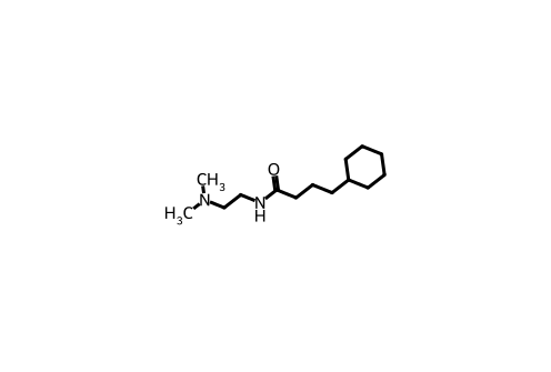 CN(C)CCNC(=O)CCCC1CCCCC1